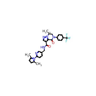 Cc1ccc(C)n1-c1ccc(CNC(=O)c2cnn3c2C(=O)N(c2ccc(C(F)(F)F)cc2)C[C@@H]3C)cn1